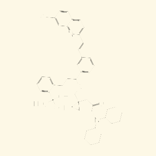 CC(C)(O)c1ccccc1CCC(SCC1(CC(=O)ON(C2CCCCC2)C2CCCCC2)CC1)c1cccc(C=Cc2ccc3ccc(Cl)cc3n2)c1